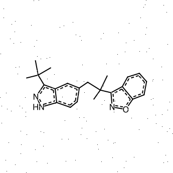 CC(C)(C)c1n[nH]c2ccc(CC(C)(C)c3noc4ccccc34)cc12